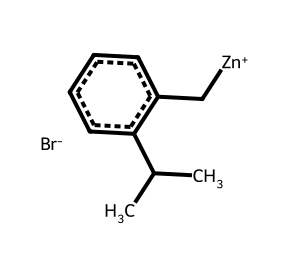 CC(C)c1ccccc1[CH2][Zn+].[Br-]